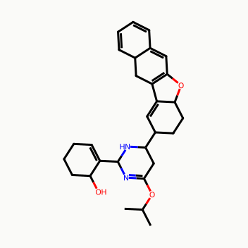 CC(C)OC1=NC(C2=CCCCC2O)NC(C2C=C3C4=C(C=C5C=CC=CC5C4)OC3CC2)C1